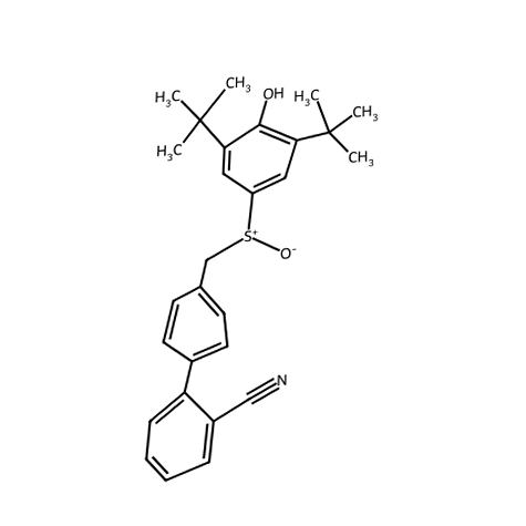 CC(C)(C)c1cc([S+]([O-])Cc2ccc(-c3ccccc3C#N)cc2)cc(C(C)(C)C)c1O